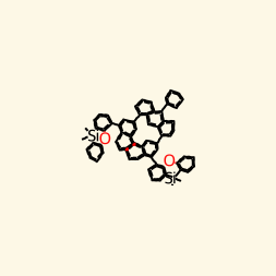 C[Si]1(C)c2ccccc2Oc2c(-c3cc(-c4cccc5c(-c6ccccc6)c6cccc(-c7cc(-c8cccc9c8Oc8ccccc8[Si]9(C)C)c8ccccc8c7)c6cc45)cc4ccccc34)cccc21